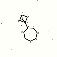 C1CCC[C](C23CC(C2)C3)CC1